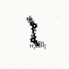 C[Si](C)(C)c1cc2c(ccc3sc(/C=C/c4cc5c(ccc6sc(SC(F)(F)F)cc65)s4)cc32)s1